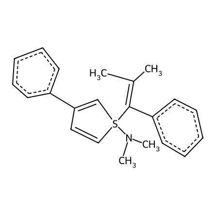 CC(C)=C(c1ccccc1)S1(N(C)C)C=CC(c2ccccc2)=C1